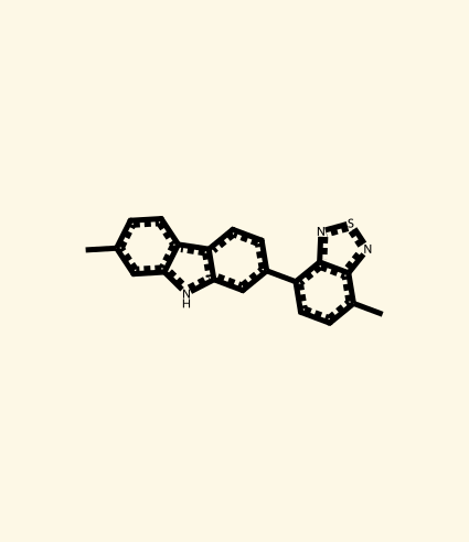 Cc1ccc2c(c1)[nH]c1cc(-c3ccc(C)c4nsnc34)ccc12